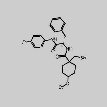 CCOC1CCC(CS)(C(=O)N[C@@H](Cc2ccccc2)C(=O)Nc2ccc(F)cc2)CC1